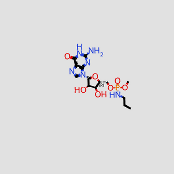 CCCNP(=O)(OC)OC[C@H]1O[C@@H](n2cnc3c(=O)[nH]c(N)nc32)C(O)C1O